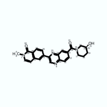 Cn1ccc2cc(-c3cnc4ccc(C(=O)N5CCC[C@H](O)C5)cc4n3)ccc2c1=O